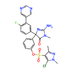 Cc1nn(C)c(Cl)c1S(=O)(=O)Oc1cccc(C2(c3ccc(F)c(-c4cncnc4)c3)N=C(N)N(C)C2=O)c1